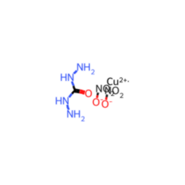 NNC(=O)NN.O=[N+]([O-])[O-].O=[N+]([O-])[O-].[Cu+2]